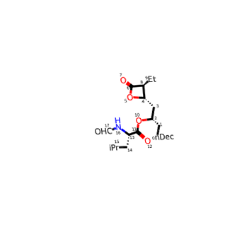 CCCCCCCCCCC[C@@H](C[C@@H]1OC(=O)[C@H]1CC)OC(=O)[C@H](CC(C)C)NC=O